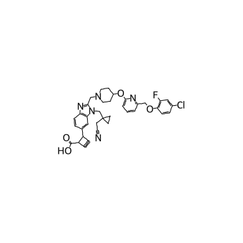 N#CCC1(Cn2c(CN3CCC(Oc4cccc(COc5ccc(Cl)cc5F)n4)CC3)nc3ccc(C4C#CC4C(=O)O)cc32)CC1